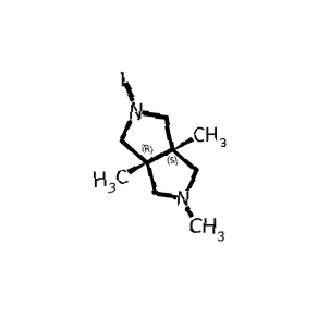 CN1C[C@@]2(C)CN(I)C[C@@]2(C)C1